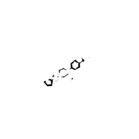 CC(C)(O)c1ccc(N2CCN(S(=O)(=O)c3cccs3)C[C@H]2CO)cc1